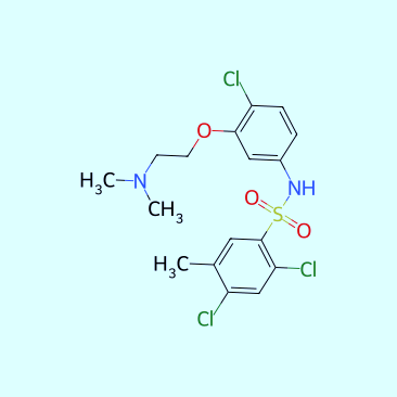 Cc1cc(S(=O)(=O)Nc2ccc(Cl)c(OCCN(C)C)c2)c(Cl)cc1Cl